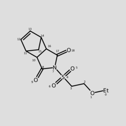 CCOCCS(=O)(=O)N1C(=O)C2C3C=CC(C3)C2C1=O